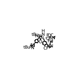 CC(C)(C)C[C@]1(c2ccc(-c3cnn(C(C)(C)C)n3)cc2)NC(=N)N([C@H](COC(=O)NC2(C(F)(F)F)CC2)c2ccc(Cl)c(-n3ncnc3C(F)F)c2)C1=O